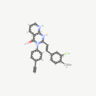 C#Cc1ccc(-n2c(C=Cc3ccc(OC)c(F)c3)nc3ncccc3c2=O)cc1